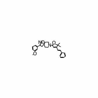 COc1cccc(C2=NOC3(CCN(C(=O)/C=C(/C=C/c4ccccc4)C(C)(C)C)CC3)C2)c1